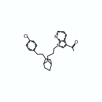 CC(=O)c1cn(CCCN2C3CCC2C(CCc2ccc(Cl)cc2)C3)c2ncccc12